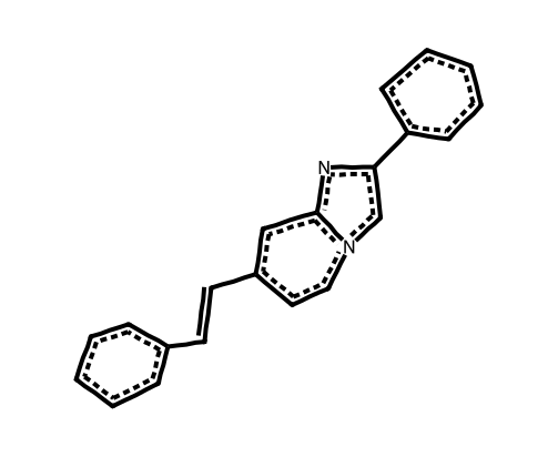 C(=C\c1ccn2cc(-c3ccccc3)nc2c1)/c1ccccc1